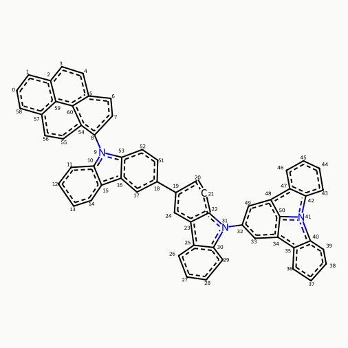 c1cc2ccc3ccc(-n4c5ccccc5c5cc(-c6ccc7c(c6)c6ccccc6n7-c6cc7c8ccccc8n8c9ccccc9c(c6)c78)ccc54)c4ccc(c1)c2c34